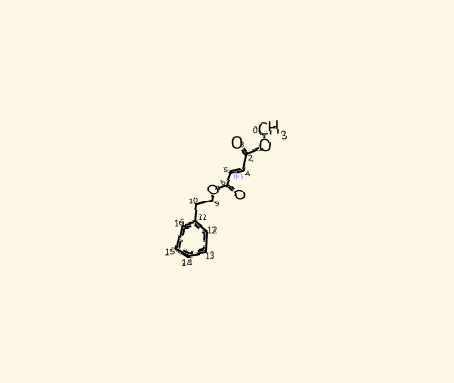 COC(=O)/C=C/C(=O)OCCc1ccccc1